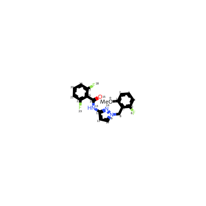 COc1cccc(F)c1Cn1ccc(NC(=O)c2c(F)cccc2F)n1